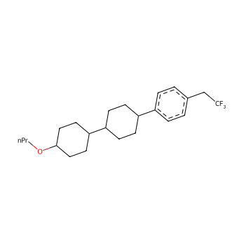 CCCOC1CCC(C2CCC(c3ccc(CC(F)(F)F)cc3)CC2)CC1